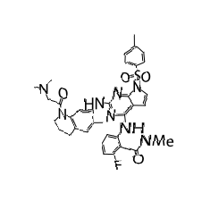 CNC(=O)c1c(F)cccc1Nc1nc(Nc2cc3c(cc2C)CCCN3C(=O)CN(C)C)nc2c1ccn2S(=O)(=O)c1ccc(C)cc1